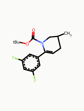 CC1CC=C(c2cc(F)cc(F)c2)N(C(=O)OC(C)(C)C)C1